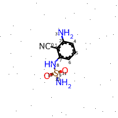 N#Cc1c(N)cccc1NS(N)(=O)=O